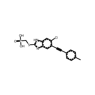 Cc1ccc(C#Cc2cc3nc(SCP(=O)(O)O)[nH]c3cc2Cl)cc1